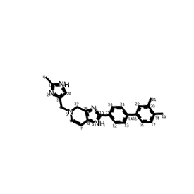 Cc1nc(CN2C=Cc3[nH]c(-c4ccc(-c5ccc(C)c(C)c5)cc4)nc3C2)c[nH]1